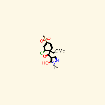 COCC1(C(=O)c2cnn(C(C)C)c2O)C=CC(S(C)(=O)=O)=CC1Cl